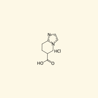 Cl.O=C(O)C1CCc2nccn2C1